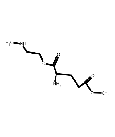 CNCCOC(=O)[C@H](N)CCC(=O)OC